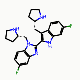 Fc1ccc2c(c1)nc(-c1[nH]c3cc(F)ccc3c1C[C@@H]1CCCN1)n2C[C@@H]1CCCN1